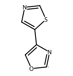 [c]1nc(-c2cncs2)co1